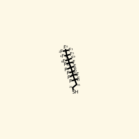 FC(F)(F)C(F)(F)C(F)(F)C(F)(F)C(F)(F)C(F)(F)C(F)(F)C(F)(F)CCS